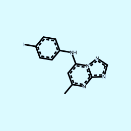 Cc1cc(Nc2ccc(I)cc2)n2ncnc2n1